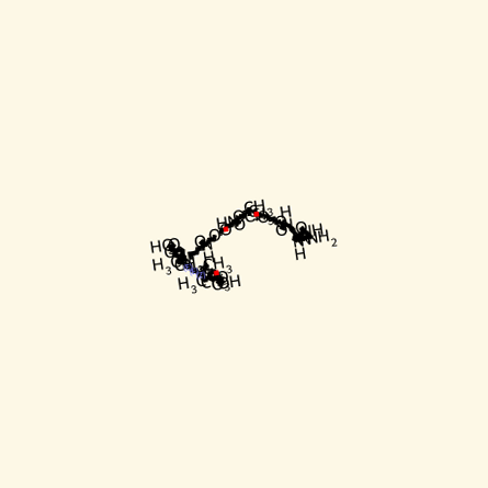 CCN1\C(=C/C=C/C=C/C2=[N+](CCCCCC(=O)NCCOCCOCCNC(=O)OCCC(C)(C)SSCOCCCCOC(=O)NC#Cc3c[nH]c4nc(N)[nH]c(=O)c34)c3ccc(S(=O)(=O)O)cc3C2(C)C)C(C)(C)c2cc(S(=O)(=O)O)ccc21